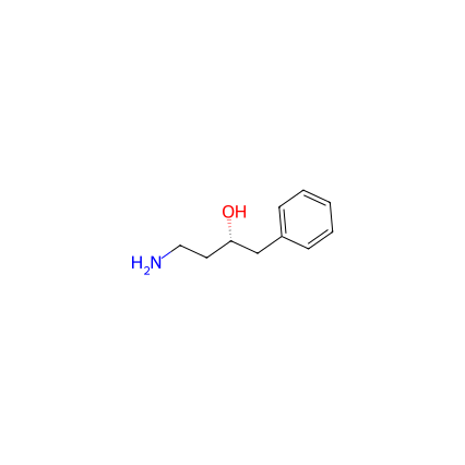 NCC[C@H](O)Cc1ccccc1